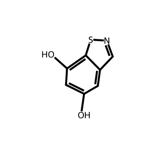 Oc1cc(O)c2sncc2c1